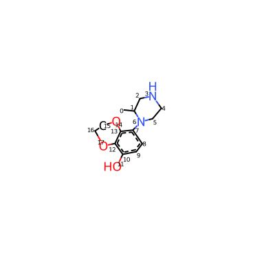 CC1CNCCN1c1ccc(O)c2c1OCCO2